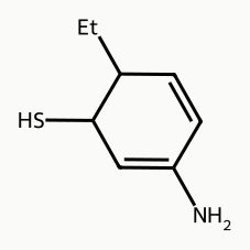 CCC1C=CC(N)=CC1S